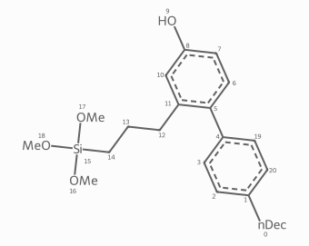 CCCCCCCCCCc1ccc(-c2ccc(O)cc2CCC[Si](OC)(OC)OC)cc1